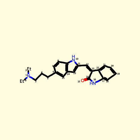 CCN(CC)CCCc1ccc2[nH]c(C=C3C(=O)Nc4ccccc43)cc2c1